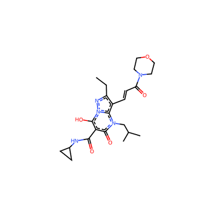 CCc1nn2c(O)c(C(=O)NC3CC3)c(=O)n(CC(C)C)c2c1C=CC(=O)N1CCOCC1